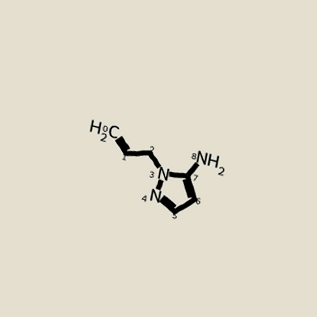 C=CCn1nccc1N